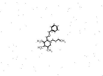 CCCCN1CC(C)C(C)C(C)C1COCc1ccccc1